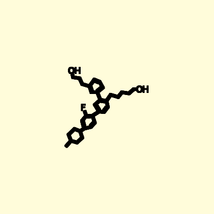 CC1CCC(c2ccc(-c3ccc(CCCCCO)c(-c4cccc(CCCO)c4)c3)c(F)c2)CC1